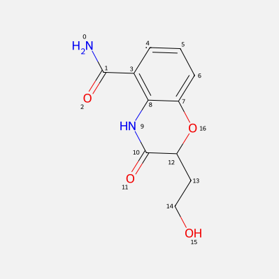 NC(=O)c1[c]ccc2c1NC(=O)C(CCO)O2